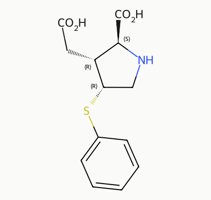 O=C(O)C[C@H]1[C@@H](Sc2ccccc2)CN[C@@H]1C(=O)O